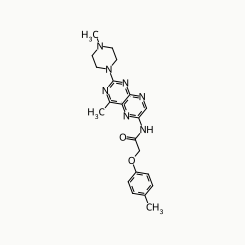 Cc1ccc(OCC(=O)Nc2cnc3nc(N4CCN(C)CC4)nc(C)c3n2)cc1